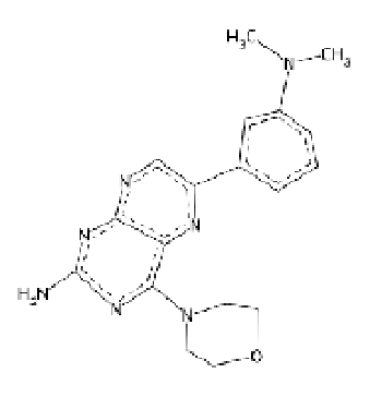 CN(C)c1cccc(-c2cnc3nc(N)nc(N4CCOCC4)c3n2)c1